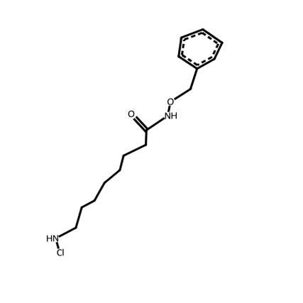 O=C(CCCCCCCNCl)NOCc1ccccc1